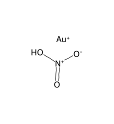 O=[N+]([O-])O.[Au+]